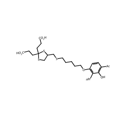 CCCc1c(OCCCCCSCC2CSC(CCC(=O)O)(CCC(=O)O)S2)ccc(C(C)=O)c1O